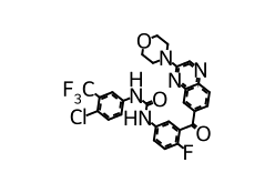 O=C(Nc1ccc(F)c(C(=O)c2ccc3ncc(N4CCOCC4)nc3c2)c1)Nc1ccc(Cl)c(C(F)(F)F)c1